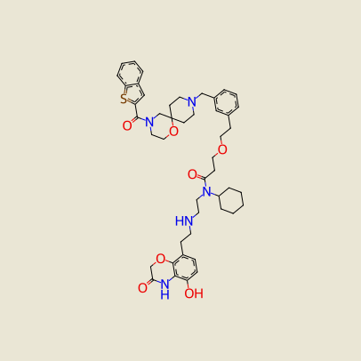 O=C1COc2c(CCNCCN(C(=O)CCOCCc3cccc(CN4CCC5(CC4)CN(C(=O)c4cc6ccccc6s4)CCO5)c3)C3CCCCC3)ccc(O)c2N1